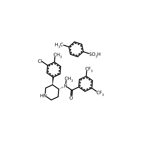 Cc1ccc(S(=O)(=O)O)cc1.Cc1ccc([C@@H]2CNCC[C@H]2N(C)C(=O)c2cc(C(F)(F)F)cc(C(F)(F)F)c2)cc1Cl